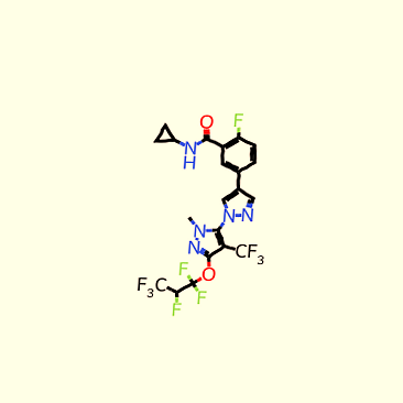 Cn1nc(OC(F)(F)C(F)C(F)(F)F)c(C(F)(F)F)c1-n1cc(-c2ccc(F)c(C(=O)NC3CC3)c2)cn1